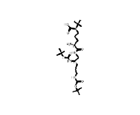 CC(C)(C)OC(=O)NCCC[C@@H](CNC(=O)[C@@H](N)CCCN(C(=O)O)C(C)(C)C)NC(=O)OC(C)(C)C